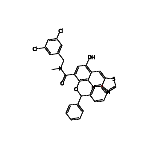 CN(Cc1cc(Cl)cc(Cl)c1)C(=O)c1cc(O)c2cc3scnc3nc2c1OC(c1ccccc1)c1ccccc1